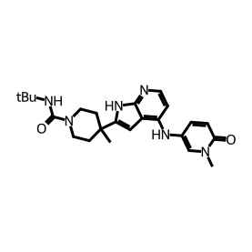 Cn1cc(Nc2ccnc3[nH]c(C4(C)CCN(C(=O)NC(C)(C)C)CC4)cc23)ccc1=O